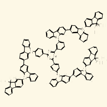 CC1(C)c2ccccc2-c2ccc(-n3c4ccccc4c4cc(-c5ccc6c7ccccc7n(-c7ccc(-c8nc(-c9ccc(-n%10c%11ccccc%11c%11ccc(-c%12ccc%13c(c%12)c%12ccccc%12n%13-c%12ccc%13c(c%12)C(C)(C)c%12ccccc%12-%13)cc%11%10)cc9)nc(-c9cccc(-n%10c%11ccccc%11c%11ccc(-c%12ccc%13c(c%12)c%12ccccc%12n%13-c%12ccc%13c(c%12)C(C)(C)c%12ccccc%12-%13)cc%11%10)c9)n8)cc7)c6c5)ccc43)cc21